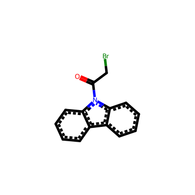 O=C(CBr)n1c2ccccc2c2ccccc21